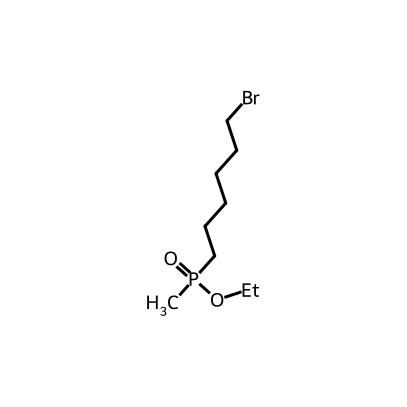 CCOP(C)(=O)CCCCCCBr